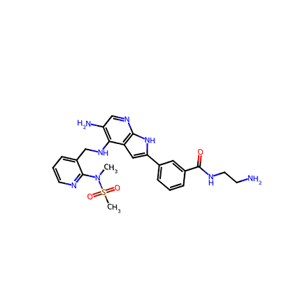 CN(c1ncccc1CNc1c(N)cnc2[nH]c(-c3cccc(C(=O)NCCN)c3)cc12)S(C)(=O)=O